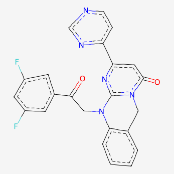 O=C(CN1c2ccccc2Cn2c1nc(-c1ccncn1)cc2=O)c1cc(F)cc(F)c1